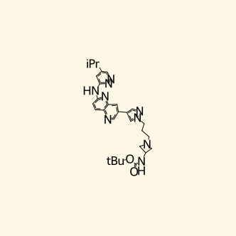 CC(C)c1cnnc(Nc2ccc3ncc(-c4cnn(CCCN5CC(NC(=O)OC(C)(C)C)C5)c4)cc3n2)c1